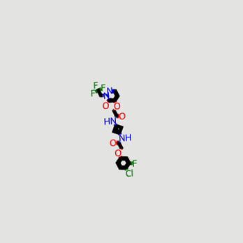 O=C(COc1ccc(Cl)c(F)c1)NC12CC(NC(=O)COc3ccnn(CC(F)(F)F)c3=O)(C1)C2